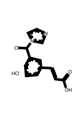 Cl.O=C(O)/C=C/c1cccc(C(Cl)n2ccnc2)c1